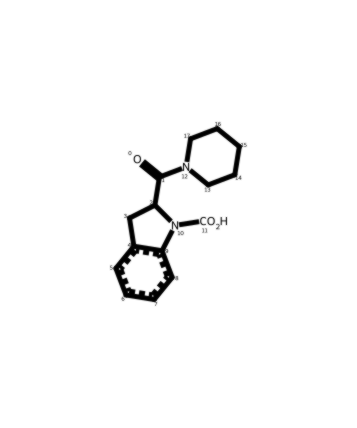 O=C(C1Cc2ccccc2N1C(=O)O)N1CCCCC1